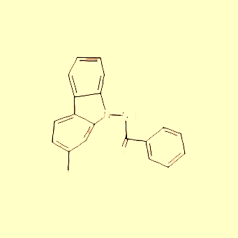 O=C(Nn1c2ccccc2c2ccc(Cl)cc21)c1ccccc1